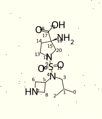 CC(C)CN(C1CNC1)S(=O)(=O)N1CC[C@](N)(C(=O)O)C1